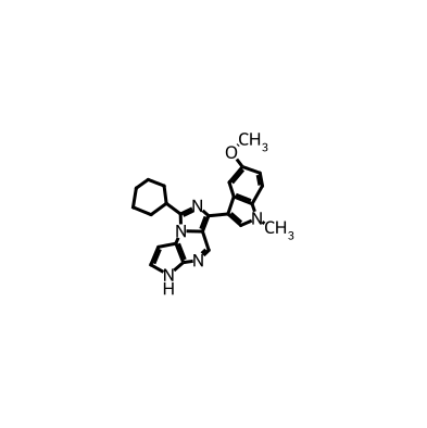 COc1ccc2c(c1)c(-c1nc(C3CCCCC3)n3c1cnc1[nH]ccc13)cn2C